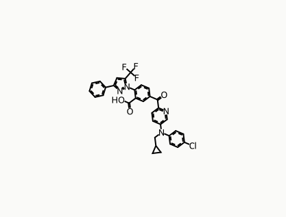 O=C(c1ccc(-n2nc(-c3ccccc3)cc2C(F)(F)F)c(C(=O)O)c1)c1ccc(N(CC2CC2)c2ccc(Cl)cc2)cn1